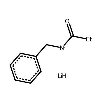 CCC(=O)[N]Cc1ccccc1.[LiH]